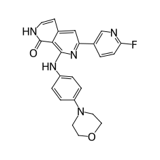 O=c1[nH]ccc2cc(-c3ccc(F)nc3)nc(Nc3ccc(N4CCOCC4)cc3)c12